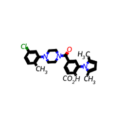 Cc1ccc(Cl)cc1N1CCN(C(=O)c2ccc(C(=O)O)c(-n3c(C)ccc3C)c2)CC1